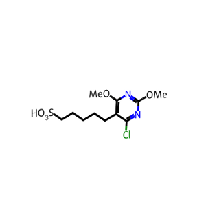 COc1nc(Cl)c(CCCCCS(=O)(=O)O)c(OC)n1